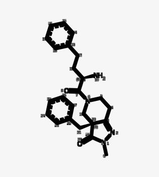 CN1N=C2CCN(C(=O)[C@H](N)CCc3ccccc3)C[C@@]2(Cc2ccccc2)C1=O